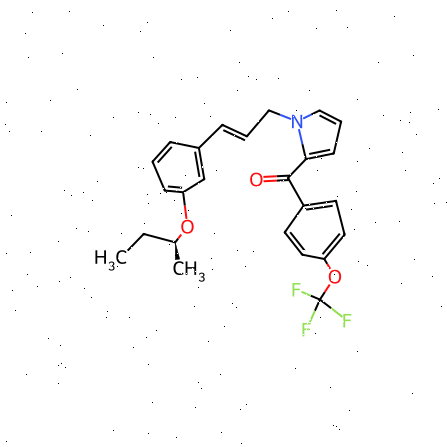 CC[C@H](C)Oc1cccc(/C=C/Cn2cccc2C(=O)c2ccc(OC(F)(F)F)cc2)c1